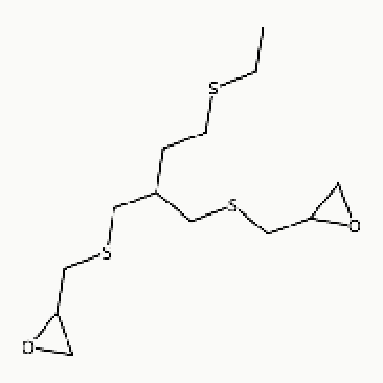 CCSCCC(CSCC1CO1)CSCC1CO1